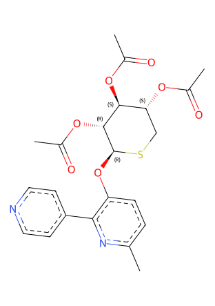 CC(=O)O[C@@H]1[C@@H](OC(C)=O)[C@H](OC(C)=O)CS[C@H]1Oc1ccc(C)nc1-c1ccncc1